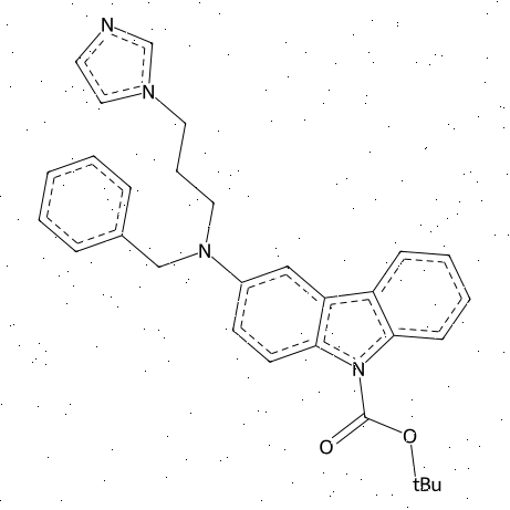 CC(C)(C)OC(=O)n1c2ccccc2c2cc(N(CCCn3ccnc3)Cc3ccccc3)ccc21